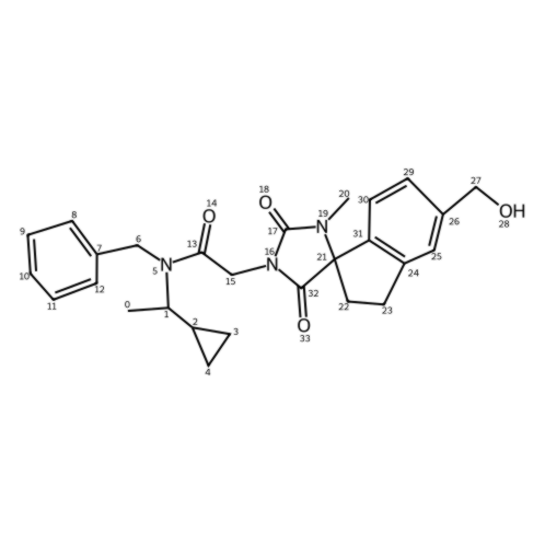 CC(C1CC1)N(Cc1ccccc1)C(=O)CN1C(=O)N(C)C2(CCc3cc(CO)ccc32)C1=O